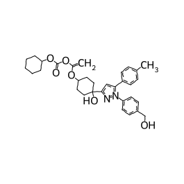 C=C(OC(=O)OC1CCCCC1)OC1CCC(O)(c2cc(-c3ccc(C)cc3)n(-c3ccc(CO)cc3)n2)CC1